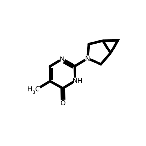 Cc1cnc(N2CC3CC3C2)[nH]c1=O